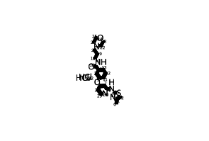 Cc1csc(Nc2cc(Oc3cccc(C(=O)NCCCN4CCOCC4)c3)ccn2)n1.Cl.Cl